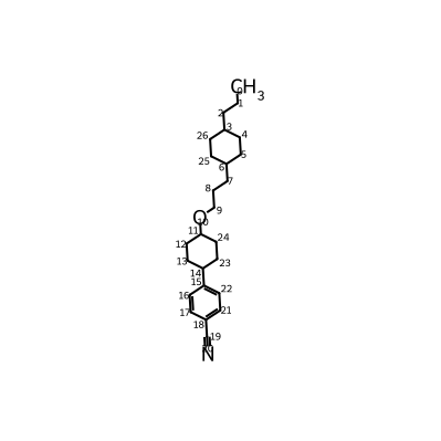 CCCC1CCC(CCCOC2CCC(c3ccc(C#N)cc3)CC2)CC1